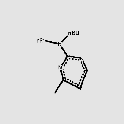 CCCCN(CCC)c1nccc(C)n1